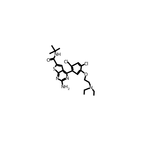 CCN(CC)CCOc1cc(-c2nc(N)nc3sc(C(=O)NC(C)(C)C)cc23)c(Cl)cc1Cl